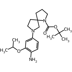 CC(C)Oc1cc(N2CCC3(CCCN3C(=O)OC(C)(C)C)C2)ccc1N